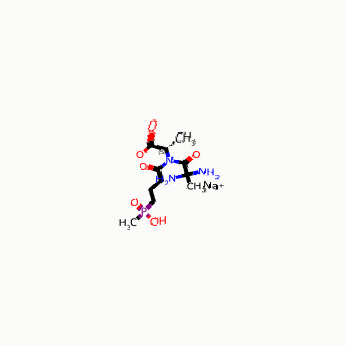 C[C@@H](C(=O)[O-])N(C(=O)CCCP(C)(=O)O)C(=O)C(C)(N)N.[Na+]